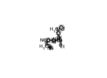 CCOCCOc1nn([C@H]2CC[C@H](N(C)[C@@H]3CCCCOC3)CC2)cc1Nc1ncc(-c2ccc(C#N)c(O[C@@H](C)Cn3cncn3)c2)cn1